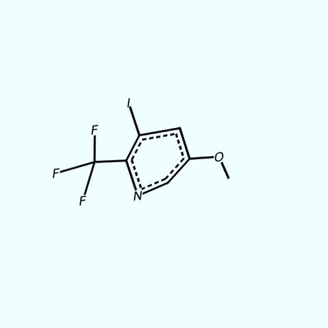 COc1cnc(C(F)(F)F)c(I)c1